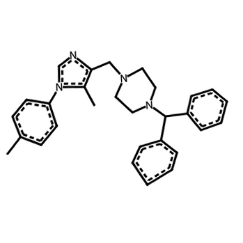 Cc1ccc(-n2cnc(CN3CCN(C(c4ccccc4)c4ccccc4)CC3)c2C)cc1